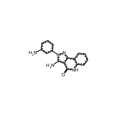 Nc1cccc(-n2nc3c(c2N)c(=O)[nH]c2ccccc23)c1